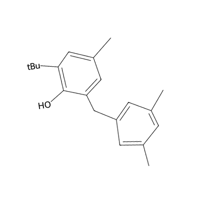 Cc1cc(C)cc(Cc2cc(C)cc(C(C)(C)C)c2O)c1